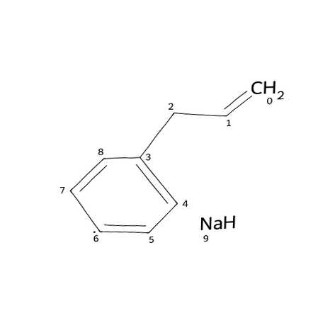 C=CCc1cc[c]cc1.[NaH]